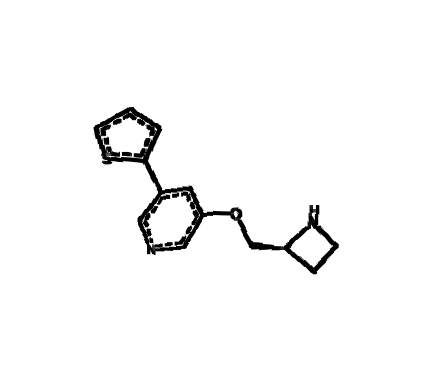 c1csc(-c2cncc(OC[C@@H]3CCN3)c2)c1